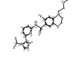 COCCN1CCOc2cc(C(=O)Nc3cccc(-c4nncn4C(C)C)n3)c(F)cc21